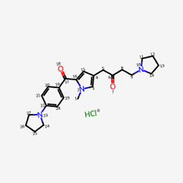 Cl.Cn1cc(CC(=O)CCN2CCCC2)cc1C(=O)c1ccc(N2CCCC2)cc1